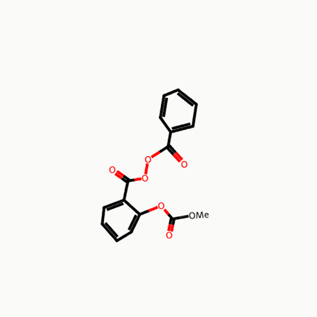 COC(=O)Oc1ccccc1C(=O)OOC(=O)c1ccccc1